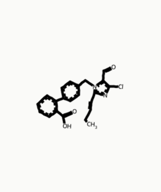 CC/C=C/c1nc(Cl)c(C=O)n1Cc1ccc(-c2ccccc2C(=O)O)cc1